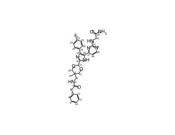 CC1(CNC(=O)Cc2ccccc2)COC(c2nc(-c3ccc(F)cc3)c(-c3ccnc(NCC(N)=O)n3)[nH]2)OC1